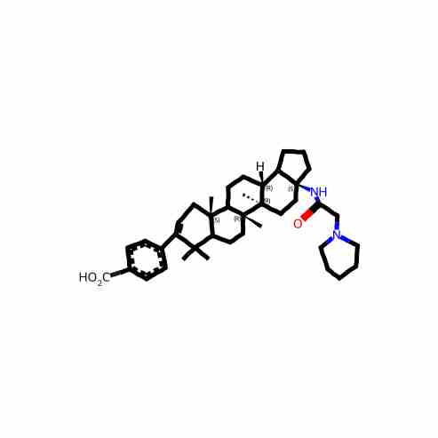 CC1(C)C(c2ccc(C(=O)O)cc2)=CC[C@@]2(C)C1CC[C@]1(C)C2CC[C@@H]2C3CCC[C@]3(NC(=O)CN3CCCCC3)CC[C@]21C